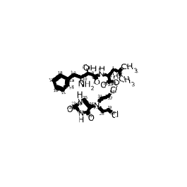 CC(C)CC(NC(=O)[C@@H](O)[C@H](N)Cc1ccccc1)C(=O)O.O=c1[nH]cc(N(CCCl)CCCl)c(=O)[nH]1